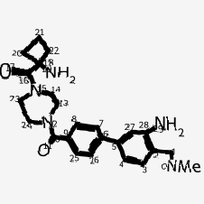 CNCc1ccc(-c2ccc(C(=O)N3CCN(C(=O)C4(N)CCC4)CC3)cc2)cc1N